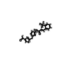 CC(=O)c1csc(Cn2ccc(NC(=O)C=Cc3ccccc3C(F)(F)F)n2)n1